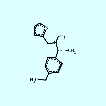 CCc1ccc([C@@H](C)N(C)Cc2cccs2)cc1